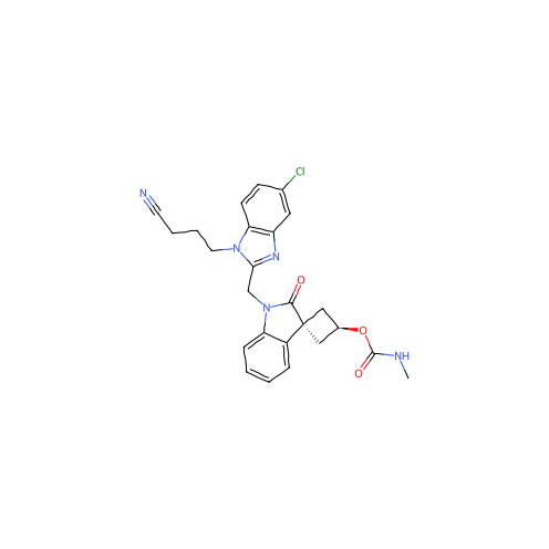 CNC(=O)O[C@H]1C[C@@]2(C1)C(=O)N(Cc1nc3cc(Cl)ccc3n1CCCC#N)c1ccccc12